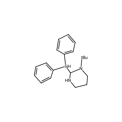 CC(C)(C)N1CCCNC1[SiH](c1ccccc1)c1ccccc1